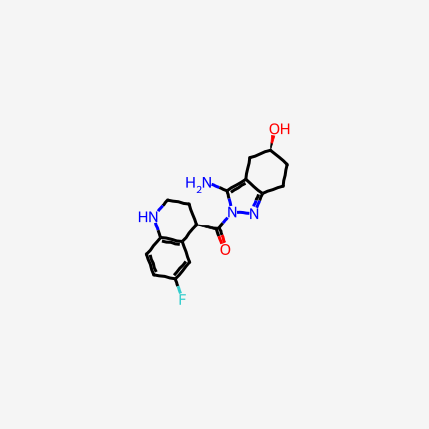 Nc1c2c(nn1C(=O)[C@@H]1CCNc3ccc(F)cc31)CC[C@H](O)C2